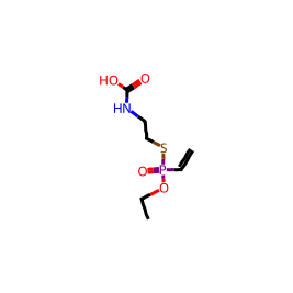 C=CP(=O)(OCC)SCCNC(=O)O